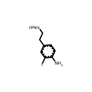 CCCCCCCCc1ccc(N)c(I)c1